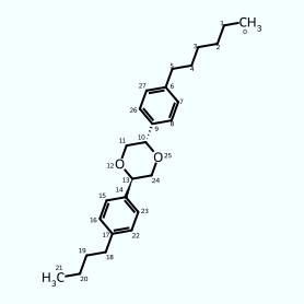 CCCCCCc1ccc([C@H]2CO[C@H](c3ccc(CCCC)cc3)CO2)cc1